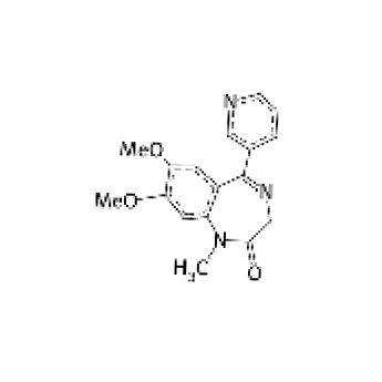 COc1cc2c(cc1OC)N(C)C(=O)CN=C2c1cccnc1